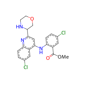 COC(=O)c1cc(Cl)ccc1Nc1cc(C2COCCN2)nc2ccc(Cl)cc12